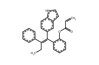 C=CC(=O)Oc1ccccc1/C(=C(\CC)c1ccccc1)c1ccc2[nH]ccc2c1